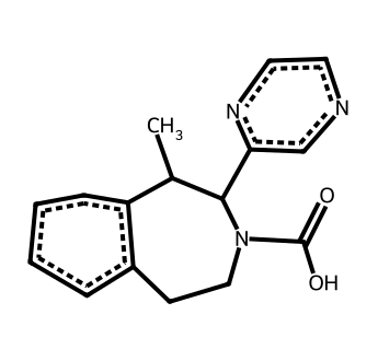 CC1c2ccccc2CCN(C(=O)O)C1c1cnccn1